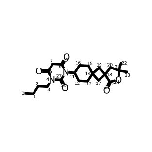 CCCCN1C(=O)CC(=O)N(C2CCC3(CC2)CC2(C3)CC(C)(C)OC2=O)C1=O